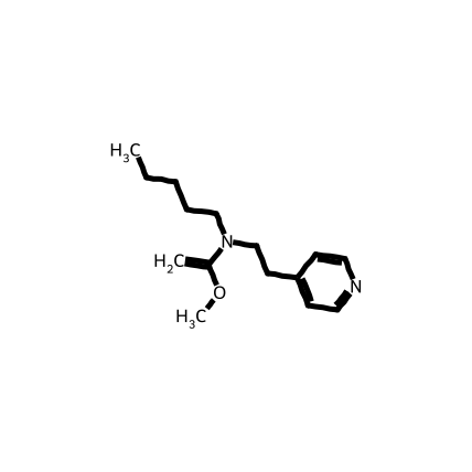 C=C(OC)N(CCCCC)CCc1ccncc1